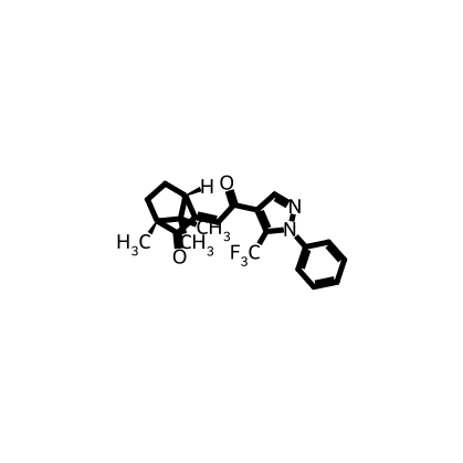 CC1(C)[C@@H]2CC[C@@]1(C)C(=O)/C2=C/C(=O)c1cnn(-c2ccccc2)c1C(F)(F)F